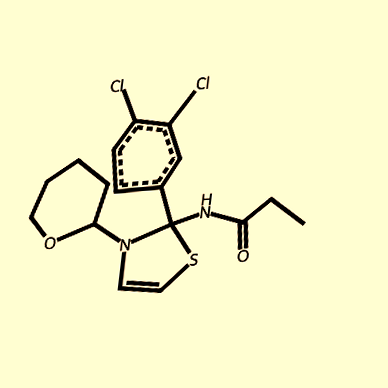 CCC(=O)NC1(c2ccc(Cl)c(Cl)c2)SC=CN1C1CCCCO1